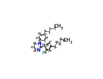 CCCCCc1ccc(N2CC=CN=C2c2ccc(CCCCC)cc2F)cc1